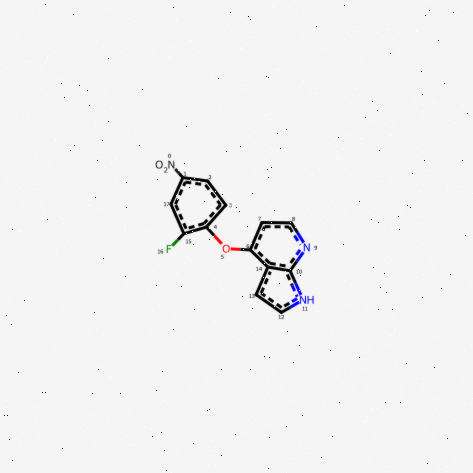 O=[N+]([O-])c1ccc(Oc2ccnc3[nH]ccc23)c(F)c1